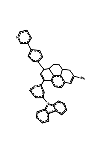 CC(C)(C)C1=Cc2ccc3c4c2C(CCC4C(c2ccc(-c4cccnc4)cc2)C=C3c2cccc(-n3c4ccccc4c4ccccc43)c2)C1